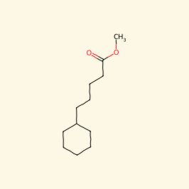 COC(=O)CCCCC1CCCCC1